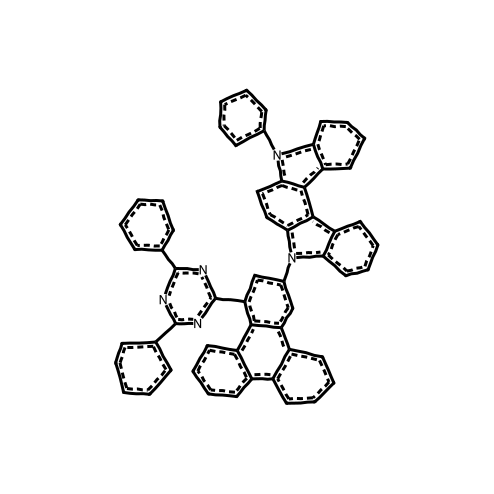 c1ccc(-c2nc(-c3ccccc3)nc(-c3cc(-n4c5ccccc5c5c6c7ccccc7n(-c7ccccc7)c6ccc54)cc4c5ccccc5c5ccccc5c34)n2)cc1